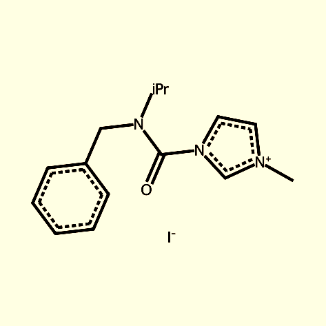 CC(C)N(Cc1ccccc1)C(=O)n1cc[n+](C)c1.[I-]